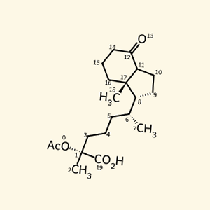 CC(=O)O[C@](C)(CCC[C@@H](C)[C@H]1CCC2C(=O)CCC[C@]21C)C(=O)O